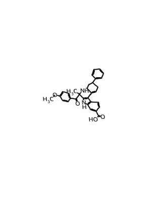 COc1ccc(C(=O)C(C)(N)c2[nH]c3cc(C(=O)O)ccc3c2C2=CCC(c3ccccc3)CC2)cc1